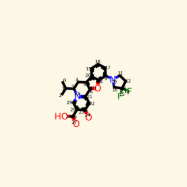 CC(C)C1Cc2c(oc3c(N4CCC(F)(F)C4)cccc23)-c2cc(=O)c(C(=O)O)cn21